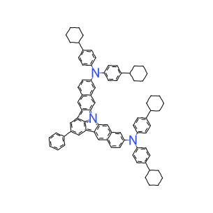 c1ccc(-c2cc3c4cc5ccc(N(c6ccc(C7CCCCC7)cc6)c6ccc(C7CCCCC7)cc6)cc5cc4n4c5cc6cc(N(c7ccc(C8CCCCC8)cc7)c7ccc(C8CCCCC8)cc7)ccc6cc5c(c2)c34)cc1